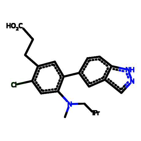 CC(C)CN(C)c1cc(Cl)c(CCC(=O)O)cc1-c1ccc2[nH]ncc2c1